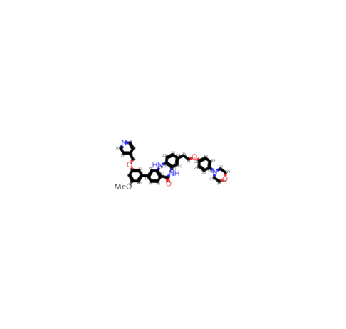 COc1cc(OCc2ccncc2)cc(-c2ccc3c(c2)Nc2ccc(CCOc4ccc(N5CCOCC5)cc4)cc2NC3=O)c1